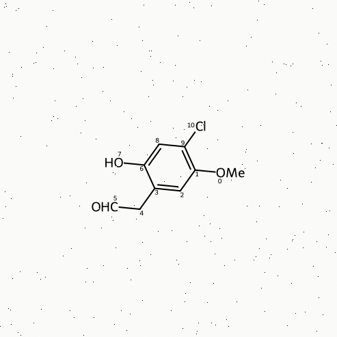 COc1cc(CC=O)c(O)cc1Cl